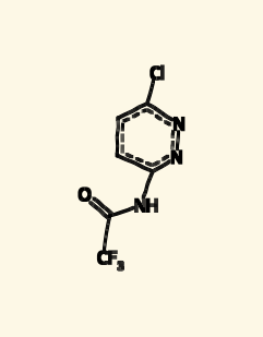 O=C(Nc1ccc(Cl)nn1)C(F)(F)F